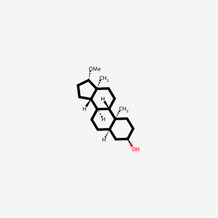 CO[C@H]1CC[C@H]2[C@@H]3CC[C@@H]4C[C@H](O)CC[C@]4(C)[C@H]3CC[C@]12C